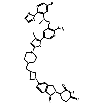 Cc1nc(N2CCN(CC3CN(c4ccc5c(c4)CN(C4CCC(=O)NC4=O)C5=O)C3)CC2)sc1-c1cnc(N)c(O[C@@H](C)c2cc(F)ccc2-n2nccn2)c1